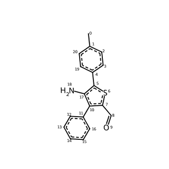 Cc1ccc(-c2sc(C=O)c(-c3ccccc3)c2N)cc1